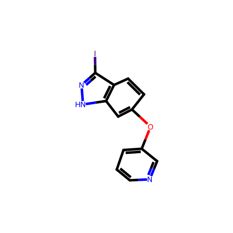 Ic1n[nH]c2cc(Oc3cccnc3)ccc12